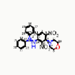 O=[N+]([O-])c1cc([N+](=O)[O-])c(N2CCOCC2)c([N+](=O)[O-])c1NN(c1ccccc1)c1ccccc1